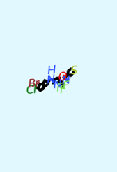 CN(C(=O)C1CCSCC1)C(c1ccc(NC2Cc3ccc(Cl)c(Br)c3C2)cn1)C(F)(F)F